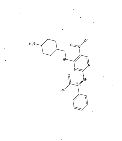 NC1CCC(CNc2nc(N[C@H](C(=O)O)c3ccccc3)ncc2[N+](=O)[O-])CC1